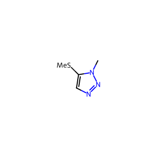 CSc1cnnn1C